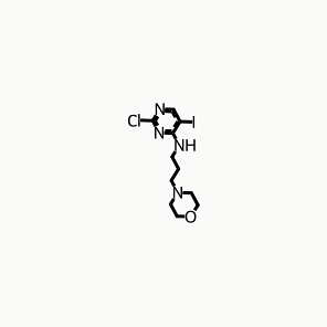 Clc1ncc(I)c(NCCCN2CCOCC2)n1